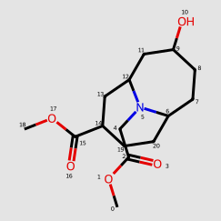 COC(=O)CN1C2CCC(O)CC1CC(C(=O)OC)CC2